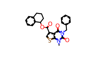 Cn1c(=O)n(Cc2ccccc2)c(=O)c2c(C(=O)OC3CCCc4ccccc43)csc21